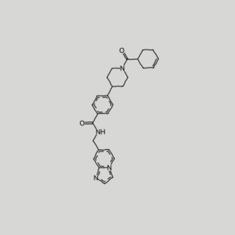 O=C(NCc1ccn2ccnc2c1)c1ccc(C2CCN(C(=O)C3CC=CCC3)CC2)cc1